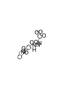 COc1cc(-c2nnc(NC(=O)c3ccc(S(=O)(=O)N4CCc5ccccc5C4)cc3)o2)cc(OC)c1OC